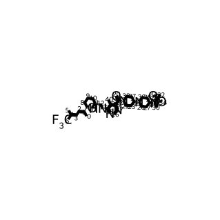 C/C(=C\C=C(/C)C(F)(F)F)[C@@H]1CCC[C@H](CNc2ncnc(C(=O)N3CCC(N4CCC(N(C)S(C)(=O)=O)CC4)CC3)c2C)O1